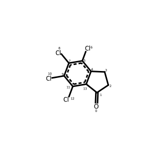 O=C1CCc2c(Cl)c(Cl)c(Cl)c(Cl)c21